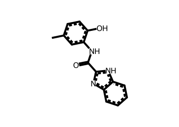 Cc1ccc(O)c(NC(=O)c2nc3ccccc3[nH]2)c1